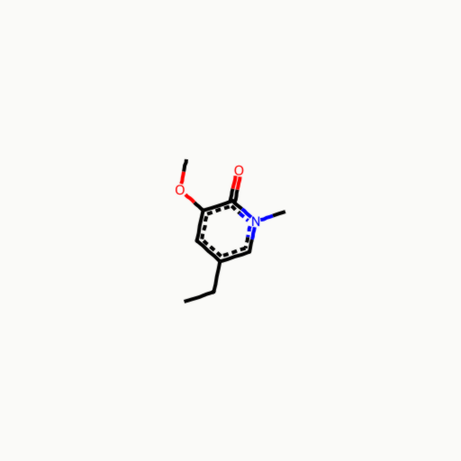 CCc1cc(OC)c(=O)n(C)c1